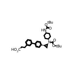 CC(C)(C)OC(=O)N[C@H]1CC[C@H](N(C(=O)OC(C)(C)C)[C@@H]2C[C@H]2c2ccc(-c3cccc(CCC(=O)O)c3)cc2)CC1